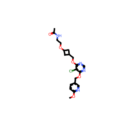 COc1ccc(COc2ncnc(OCC3CC(OCCNC(C)=O)C3)c2Cl)cn1